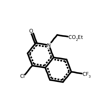 CCOC(=O)Cn1c(=O)cc(Cl)c2ccc(C(F)(F)F)cc21